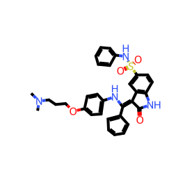 CN(C)CCCOc1ccc(NC(=C2C(=O)Nc3ccc(S(=O)(=O)Nc4ccccc4)cc32)c2ccccc2)cc1